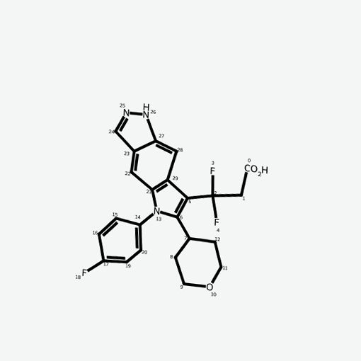 O=C(O)CC(F)(F)c1c(C2CCOCC2)n(-c2ccc(F)cc2)c2cc3cn[nH]c3cc12